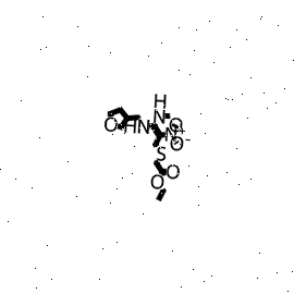 CCOC(=O)CSC/C(=C(/NC)NCC1CCOC1)[N+](=O)[O-]